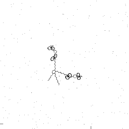 C=CC(=O)OC1CCC(COC(=O)CCCCCCCC2C(CCCCCCCC(=O)OCC3CCCC(COC(=O)C(=C)C)C3)CCC(CCCCCC)C2CCCCCCCC)CC1